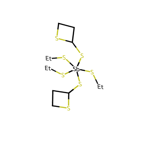 CC[S][Sb]([S]CC)([S]CC)([S]C1CCS1)[S]C1CCS1